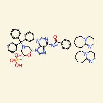 C1CCC2=NCCCN2CC1.C1CCC2=NCCCN2CC1.O=C(Nc1ncnc2c1ncn2[C@H]1CN(C(c2ccccc2)(c2ccccc2)c2ccccc2)C[C@@H](CP(=O)(O)O)O1)c1ccccc1